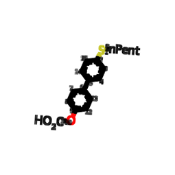 CCCCCSc1ccc(-c2ccc(OC(=O)O)cc2)cc1